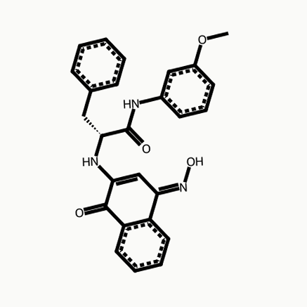 COc1cccc(NC(=O)[C@@H](Cc2ccccc2)NC2=CC(=NO)c3ccccc3C2=O)c1